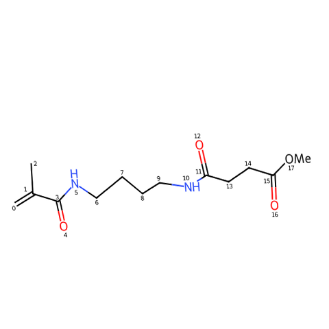 C=C(C)C(=O)NCCCCNC(=O)CCC(=O)OC